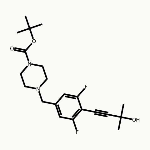 CC(C)(O)C#Cc1c(F)cc(CN2CCN(C(=O)OC(C)(C)C)CC2)cc1F